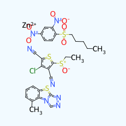 CCCCCS(=O)(=O)c1ccc([N+](=O)[O-])cc1[N+](=O)[O-].CC[S+]([O-])c1sc(C#N)c(Cl)c1C#N.Cc1cccc2sc3nncn3c12.[Zn+2]